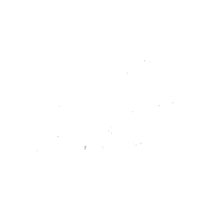 Cc1cc(Nc2ccccc2C(=O)O)nc(SCc2cccc(C(F)(F)F)c2)n1